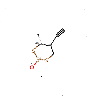 C#CC1CS[S+]([O-])S[C@@H]1C